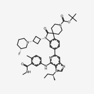 CC[C@H](C)n1cnc2cc(-c3ccc4c(c3)N([C@H]3C[C@@H](N5CCC[C@@H](F)C5)C3)C(=O)C43CCN(C(=O)OC(C)(C)C)CC3)nc(Nc3ccc(C)c(C(=O)NC)c3)c21